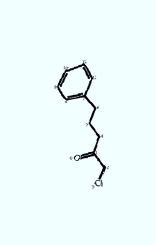 O=C([CH]Cl)CC[CH]c1ccccc1